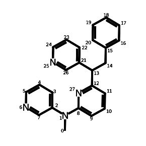 CN(c1cccnc1)c1cccc(C(Cc2ccccc2)c2cccnc2)n1